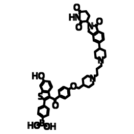 O=C1CCC(N2Cc3cc(C4CCN(CCCN5CCC(COc6ccc(C(=O)c7c(-c8ccc(B(O)O)cc8)sc8cc(O)ccc78)cc6)CC5)CC4)ccc3C2=O)C(=O)N1